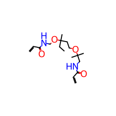 C=CC(=O)NCOC(C)(CC)CCOC(C)(C)CNC(=O)C=C